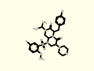 COc1ccc(F)cc1S(=O)(=O)N1CC(N2CCOCC2)C(=O)N2C(Cc3ccc(Cl)cc3)C(=O)N(C(C)C)CC21